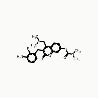 CN(C)Cc1c(Cc2cccc(N)c2F)c(=O)oc2cc(OC(=O)N(C)C)ccc12